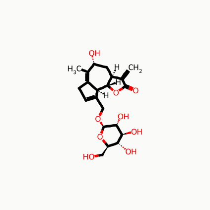 C=C1C(=O)O[C@@H]2[C@H]3C(CO[C@@H]4O[C@H](CO)[C@@H](O)[C@H](O)[C@H]4O)=CCC3=C(C)[C@H](O)C[C@@H]12